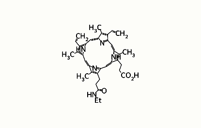 C=CC1=C(C)c2cc3[nH]c(cc4nc(cc5[nH]c(cc1n2)c(C)c5CCC(=O)O)C(CCC(=O)NCC)=C4C)c(C)c3C=C